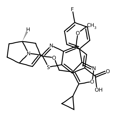 COc1cc(C(=O)O)cc2sc(N3C4C=C(OCc5c(-c6ccc(F)cc6)noc5C5CC5)C[C@@H]3CC4)nc12